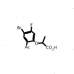 CC(=O)c1cc(Br)c(F)cc1OC(C)C(=O)O